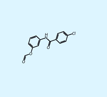 O=COc1cccc(NC(=O)c2ccc(Cl)cc2)c1